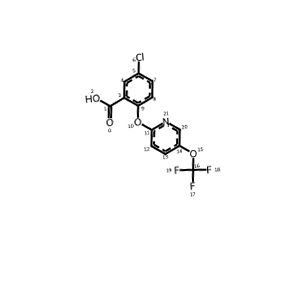 O=C(O)c1cc(Cl)ccc1Oc1ccc(OC(F)(F)F)cn1